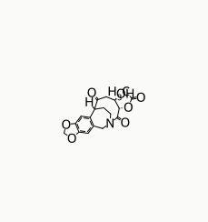 CC(=O)O[C@@H]1C(=O)N2CC[C@@H](C(=O)C[C@H]1O)c1cc3c(cc1C2)OCO3